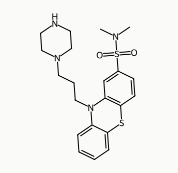 CN(C)S(=O)(=O)c1ccc2c(c1)N(CCCN1CCNCC1)c1ccccc1S2